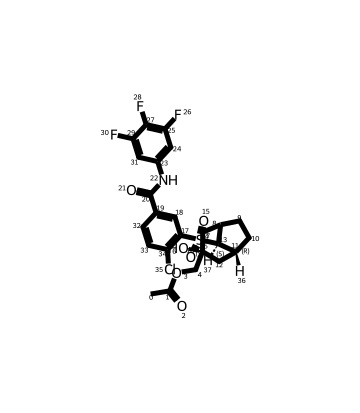 CC(=O)OC[C@]1(O)CC2CC[C@H](C1)[C@H]2S(=O)(=O)c1cc(C(=O)Nc2cc(F)c(F)c(F)c2)ccc1Cl